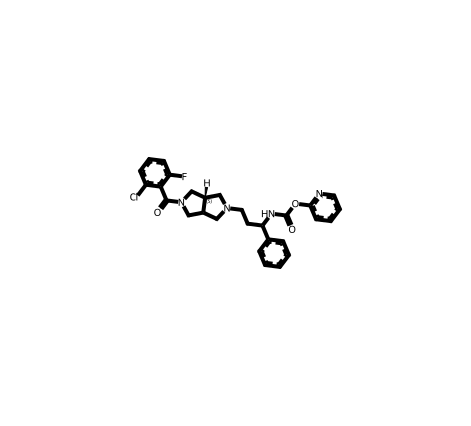 O=C(NC(CCN1CC2CN(C(=O)c3c(F)cccc3Cl)C[C@@H]2C1)c1ccccc1)Oc1ccccn1